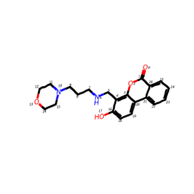 O=c1oc2c(CNCCCN3CCOCC3)c(O)ccc2c2ccccc12